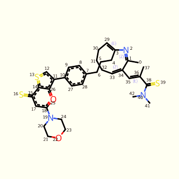 C/C1=N/C(CCCc2ccc(-c3csc4c(=S)cc(N5CCOCC5)oc34)cc2)=C/CCC/C=C1/C=C(\C)C(=S)N(C)C